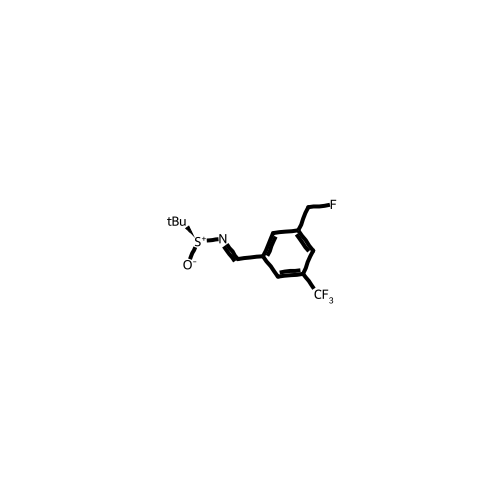 CC(C)(C)[S@+]([O-])/N=C/c1cc(CF)cc(C(F)(F)F)c1